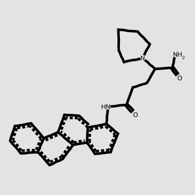 NC(=O)C(CCC(=O)Nc1cccc2c1ccc1c3ccccc3ccc21)N1CCCCC1